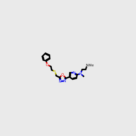 CNCCN(C)c1ccc(-c2nnc(CSCCOc3ccccc3)o2)cn1